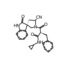 N#C[C@@H]1C[C@@]2(CN1C(=O)[C@@H](Cc1ccccc1)C(=O)NC1CC1)C(=O)Nc1ccccc12